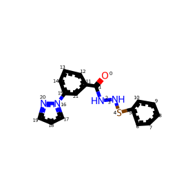 O=C(NNSc1ccccc1)c1cccc(-n2cccn2)c1